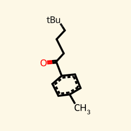 Cc1ccc(C(=O)CCCC(C)(C)C)cc1